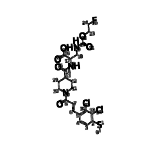 CSc1ccc(C=CC(=O)N2CCC(C(=O)NC(CNC(=O)OCCF)C(=O)O)CC2)c(Cl)c1Cl